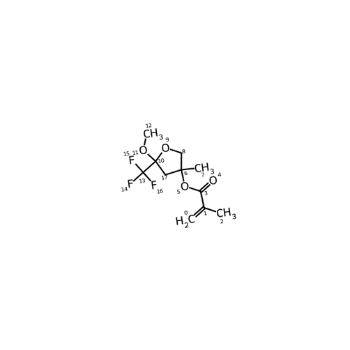 C=C(C)C(=O)OC1(C)COC(OC)(C(F)(F)F)C1